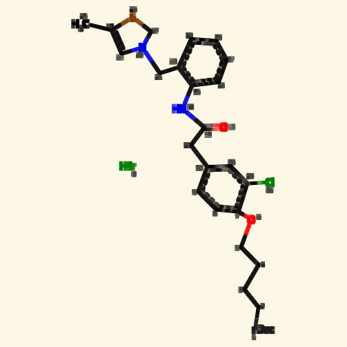 Br.CCCCCCCCCCCCCCOc1ccc(CC(=O)Nc2ccccc2CN2C=C(C)SC2)cc1Cl